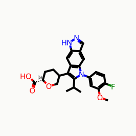 COc1cc(-n2c(C(C)C)c(C3CC[C@@H](C(=O)O)OC3)c3cc4[nH]ncc4cc32)ccc1F